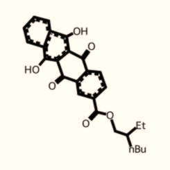 CCCCC(CC)COC(=O)c1ccc2c(c1)C(=O)c1c(c(O)c3ccccc3c1O)C2=O